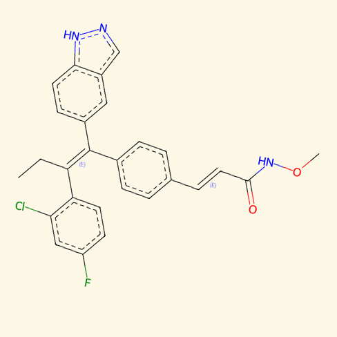 CC/C(=C(/c1ccc(/C=C/C(=O)NOC)cc1)c1ccc2[nH]ncc2c1)c1ccc(F)cc1Cl